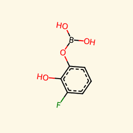 OB(O)Oc1cccc(F)c1O